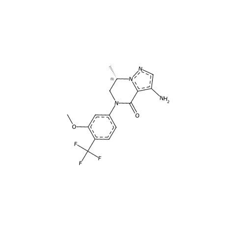 COc1cc(N2C[C@H](C)n3ncc(N)c3C2=O)ccc1C(F)(F)F